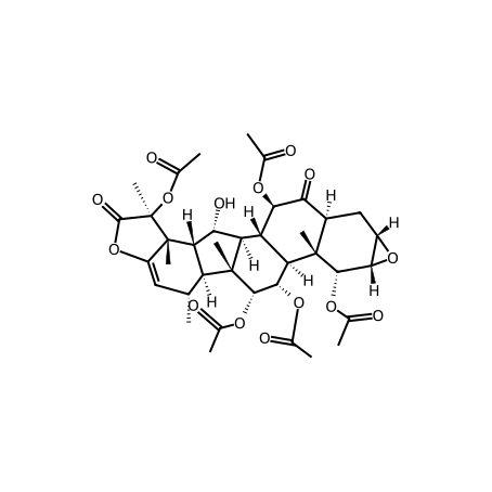 CC(=O)O[C@H]1[C@H]2[C@H]([C@@H]3[C@@H](O)[C@@H]4[C@H]([C@H](C)C=C5OC(=O)[C@@](C)(OC(C)=O)[C@@]54C)[C@@]3(C)[C@H]1OC(C)=O)[C@@H](OC(C)=O)C(=O)[C@H]1C[C@@H]3O[C@@H]3[C@H](OC(C)=O)[C@]21C